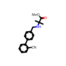 COC(=O)C(C)(C)NCc1ccc(-c2ccccc2C#N)cc1